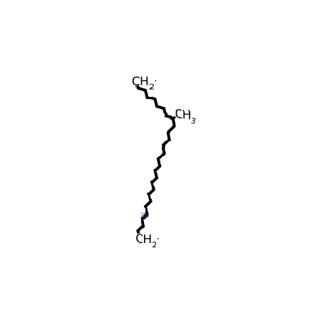 [CH2]CC/C=C/CCCCCCCCCCCCCCC(C)CCCCCCC[CH2]